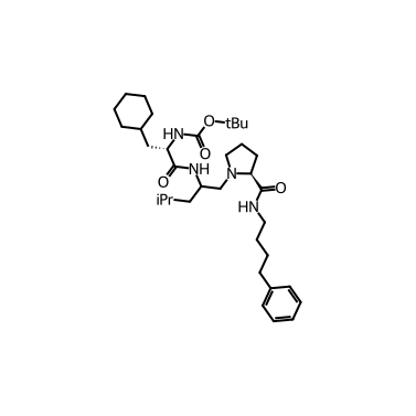 CC(C)CC(CN1CCC[C@H]1C(=O)NCCCCc1ccccc1)NC(=O)[C@H](CC1CCCCC1)NC(=O)OC(C)(C)C